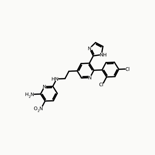 Nc1nc(NCCc2[c]nc(-c3ccc(Cl)cc3Cl)c(-c3ncc[nH]3)c2)ccc1[N+](=O)[O-]